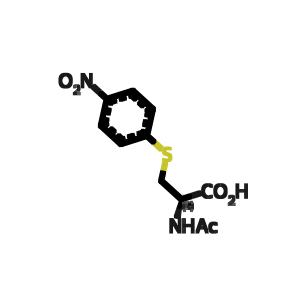 CC(=O)N[C@@H](CSc1ccc([N+](=O)[O-])cc1)C(=O)O